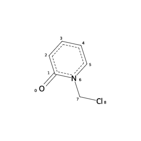 O=c1ccccn1CCl